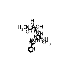 CNC(=O)C1O[C@@H](n2cnc3c(NC)nc(-n4cc(-c5ccccn5)nn4)nc32)[C@H](O)[C@@H]1O